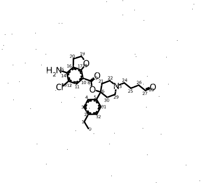 CCc1ccc(C2(OC(=O)c3cc(Cl)c(N)c4c3OCC4)CCN(CCCC=O)CC2)cc1